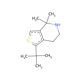 CC(C)(C)c1scc2c1CCNC2(C)C